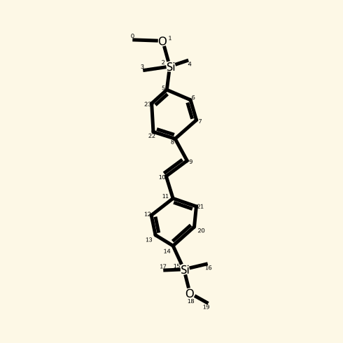 CO[Si](C)(C)c1ccc(C=Cc2ccc([Si](C)(C)OC)cc2)cc1